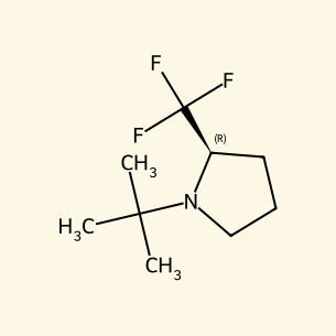 CC(C)(C)N1CCC[C@@H]1C(F)(F)F